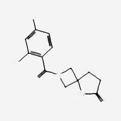 O=C1CCC2(CN(C(=O)c3ccc(Br)cc3Cl)C2)N1